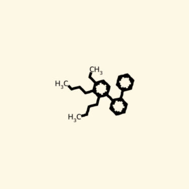 CCCCc1c(CC)ccc(-c2ccccc2-c2ccccc2)c1CCCC